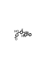 CC(=O)N1CCC(C(O)c2ccc(CC3[C@H](C)NC[C@@H](c4ccccc4)S3(=O)=O)c(F)c2)CC1